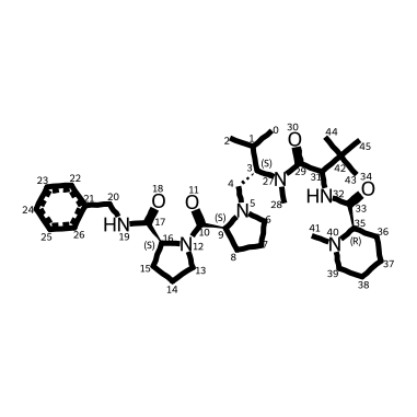 CC(C)[C@@H](CN1CCC[C@H]1C(=O)N1CCC[C@H]1C(=O)NCc1ccccc1)N(C)C(=O)C(NC(=O)[C@H]1CCCCN1C)C(C)(C)C